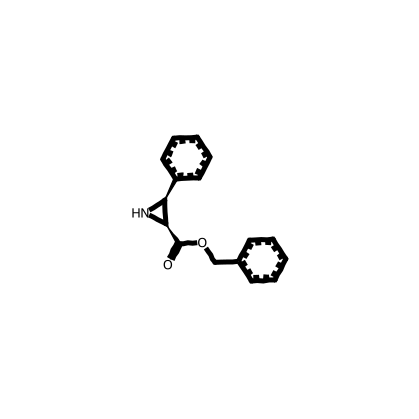 O=C(OCc1ccccc1)[C@H]1N[C@H]1c1ccccc1